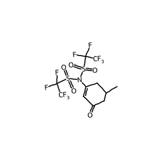 CC1CC(=O)C=C(N(S(=O)(=O)C(F)(F)C(F)(F)F)S(=O)(=O)C(F)(F)C(F)(F)F)C1